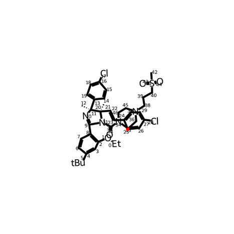 CCOc1cc(C(C)(C)C)ccc1C1=N[C@@](C)(c2ccc(Cl)cc2)[C@@](C)(/C=C/c2ccc(Cl)cc2)N1C(=O)N1CCN(CCCS(C)(=O)=O)CC1